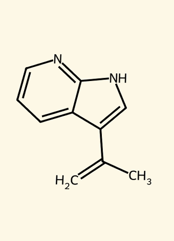 C=C(C)c1c[nH]c2ncccc12